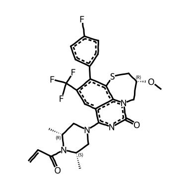 C=CC(=O)N1[C@H](C)CN(c2nc(=O)n3c4c(c(-c5ccc(F)cc5)c(C(F)(F)F)cc24)SC[C@H](OC)C3)C[C@@H]1C